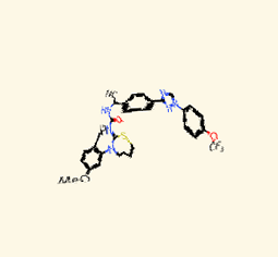 COc1ccc(C(C)C)c(N2CCCS/C2=N\C(=O)NC(C#N)c2ccc(-c3ncn(-c4ccc(OC(F)(F)F)cc4)n3)cc2)c1